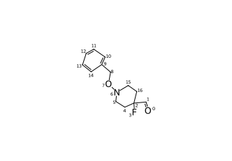 O=CC1(F)CCN(OCc2ccccc2)CC1